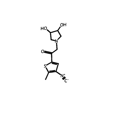 [C-]#[N+]c1cc(C(=O)CN2CC(O)C(O)C2)sc1C